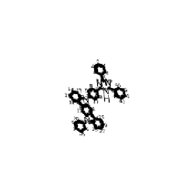 c1ccc(C2=NC(c3ccc(-n4c5ccccc5c5cc6c(cc54)c4ccccc4n6-c4ccccc4)cc3)NC(c3ccccc3)=N2)cc1